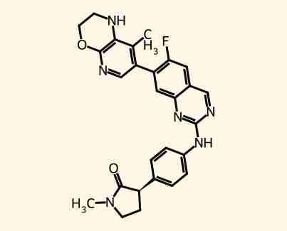 Cc1c(-c2cc3nc(Nc4ccc([C@H]5CCN(C)C5=O)cc4)ncc3cc2F)cnc2c1NCCO2